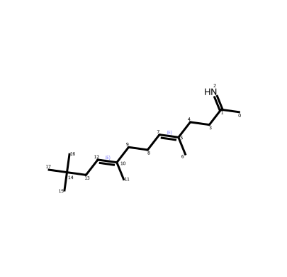 CC(=N)CC/C(C)=C/CC/C(C)=C/CC(C)(C)C